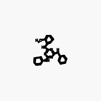 Cc1ccccc1Nc1nc(Nc2ccccc2)nc(Nc2ccccc2)n1